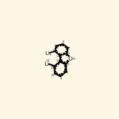 [Li][c]1cccc2oc3ccc[c]([Li])c3c12